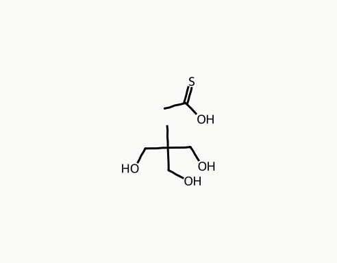 CC(CO)(CO)CO.CC(O)=S